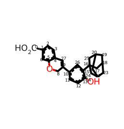 O=C(O)c1ccc2c(c1)OCC(c1ccc(O)c(C34CC5CC(CC(C5)C3)C4)c1)=C2